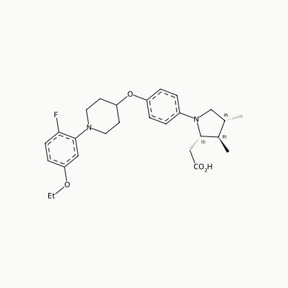 CCOc1ccc(F)c(N2CCC(Oc3ccc(N4C[C@H](C)[C@@H](C)[C@@H]4CC(=O)O)cc3)CC2)c1